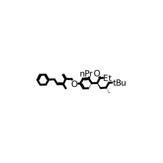 C=C(COC1=CC[C@@H]([C@H](C[C@@H](C)CC(C)(C)C)C(=O)CC)C(CCC)=C1)/C(C)=C\CC1=CC=CCC1